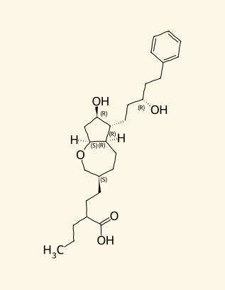 CCCC(CC[C@@H]1CC[C@@H]2[C@@H](CC[C@@H](O)CCc3ccccc3)[C@H](O)C[C@@H]2OC1)C(=O)O